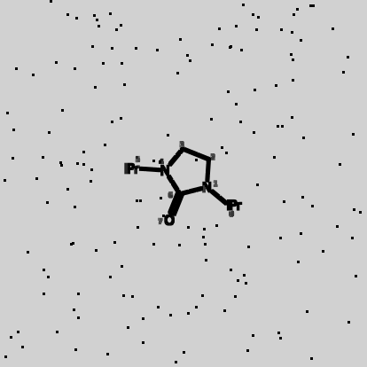 CC(C)N1CCN(C(C)C)C1=O